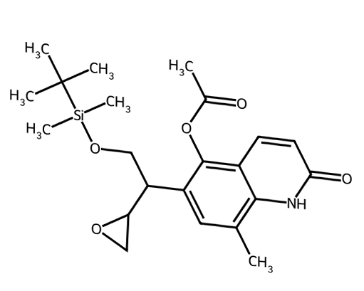 CC(=O)Oc1c(C(CO[Si](C)(C)C(C)(C)C)C2CO2)cc(C)c2[nH]c(=O)ccc12